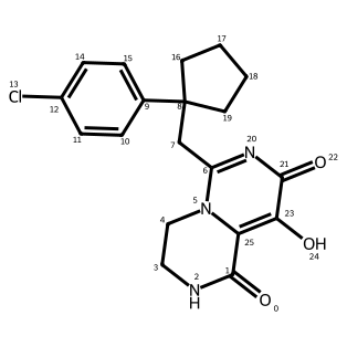 O=C1NCCn2c(CC3(c4ccc(Cl)cc4)CCCC3)nc(=O)c(O)c21